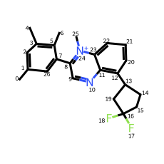 Cc1cc(C)c(C)c(-c2cnc3c(C4CCC(F)(F)C4)cccc3[n+]2C)c1